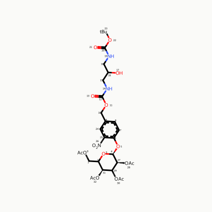 CC(=O)OCC1O[C@@H](Oc2ccc(COC(=O)NCC(O)CNC(=O)OC(C)(C)C)cc2[N+](=O)[O-])[C@@H](OC(C)=O)C(OC(C)=O)[C@H]1OC(C)=O